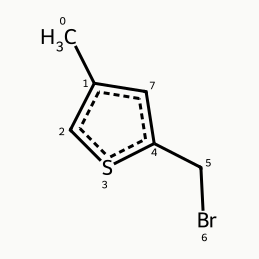 Cc1csc(CBr)c1